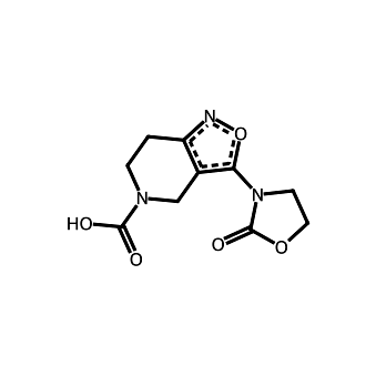 O=C(O)N1CCc2noc(N3CCOC3=O)c2C1